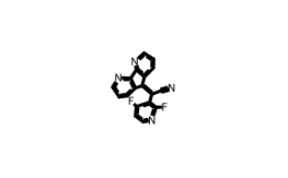 N#CC(=C1c2cccnc2-c2ncccc21)c1c(F)ccnc1F